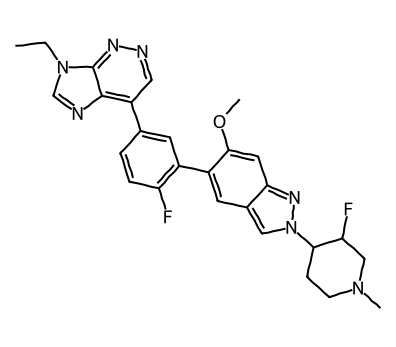 CCn1cnc2c(-c3ccc(F)c(-c4cc5cn(C6CCN(C)CC6F)nc5cc4OC)c3)cnnc21